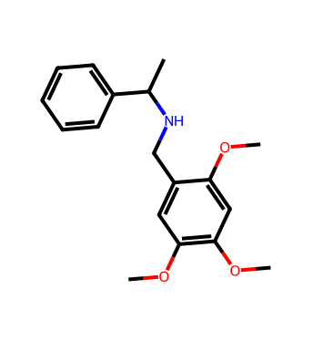 COc1cc(OC)c(OC)cc1CNC(C)c1ccccc1